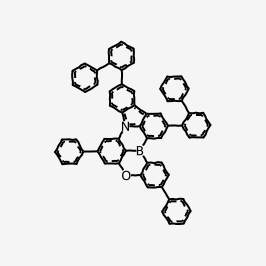 c1ccc(-c2ccc3c(c2)Oc2cc(-c4ccccc4)cc4c2B3c2cc(-c3ccccc3-c3ccccc3)cc3c5cc(-c6ccccc6-c6ccccc6)ccc5n-4c23)cc1